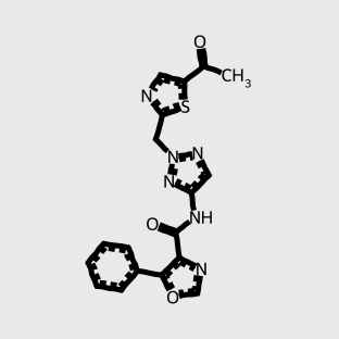 CC(=O)c1cnc(Cn2ncc(NC(=O)c3ncoc3-c3ccccc3)n2)s1